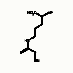 CCCC(CCCNC(=O)OC(C)(C)C)C(=O)O